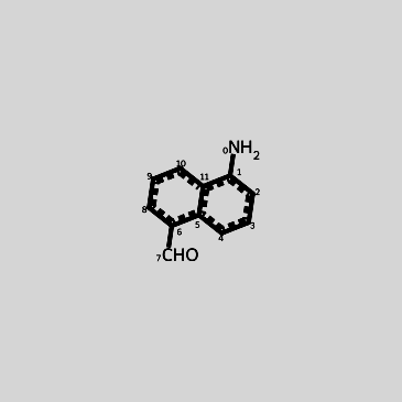 Nc1cccc2c(C=O)cccc12